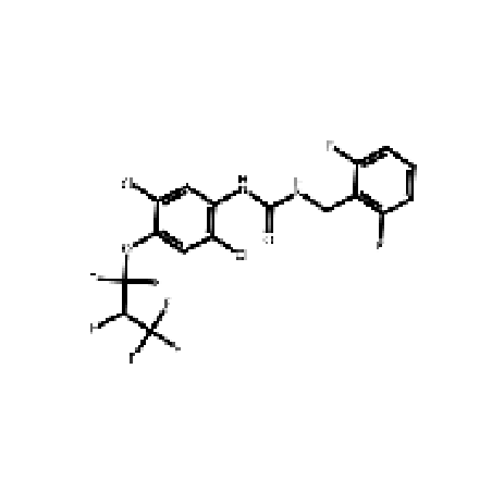 O=C(NCc1c(F)cccc1F)Nc1cc(Cl)c(OC(F)(F)C(F)C(F)(F)F)cc1Cl